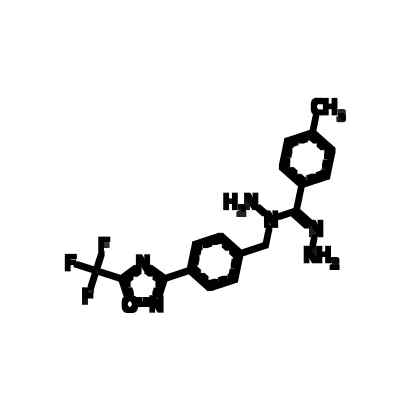 Cc1ccc(/C(=N/N)N(N)Cc2ccc(-c3noc(C(F)(F)F)n3)cc2)cc1